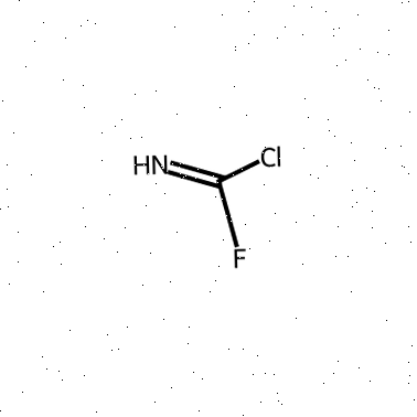 N=C(F)Cl